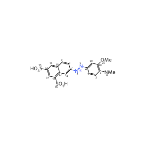 CNc1ccc(/N=N/c2ccc3cc(S(=O)(=O)O)cc(S(=O)(=O)O)c3c2)cc1OC